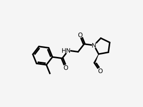 Cc1ccccc1C(=O)NCC(=O)N1CCC[C@H]1C=O